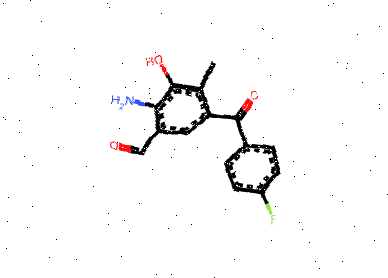 Cc1c(C(=O)c2ccc(F)cc2)cc(C=O)c(N)c1O